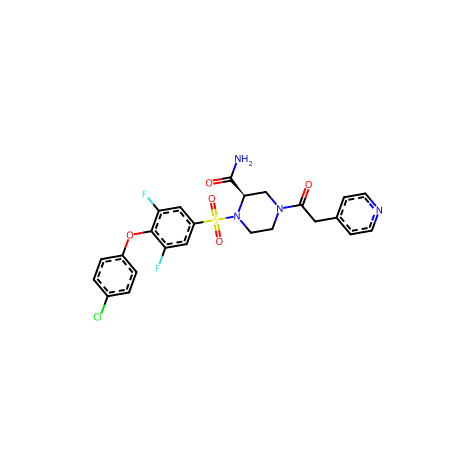 NC(=O)[C@H]1CN(C(=O)Cc2ccncc2)CCN1S(=O)(=O)c1cc(F)c(Oc2ccc(Cl)cc2)c(F)c1